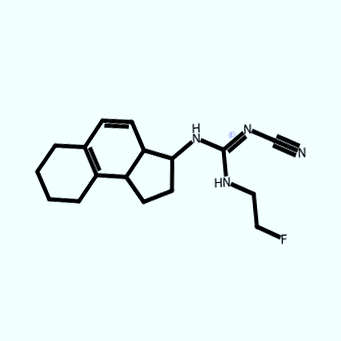 N#C/N=C(\NCCF)NC1CCC2C3=C(C=CC12)CCCC3